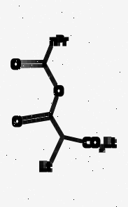 CCCC(=O)OC(=O)C(CC)C(=O)OCC